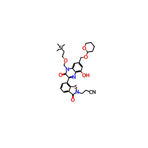 C[Si](C)(C)CCOCn1c(=O)c(-c2cccc3c(=O)n(CCC#N)sc23)nc2c(O)cc(COC3CCCCO3)cc21